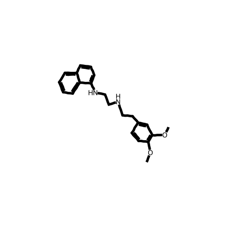 COc1ccc(CCNCCNc2cccc3ccccc23)cc1OC